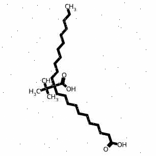 CCCCCCCCCCCC(CCCCCCCCCCC(=O)O)(C(=O)O)C(C)(C)C